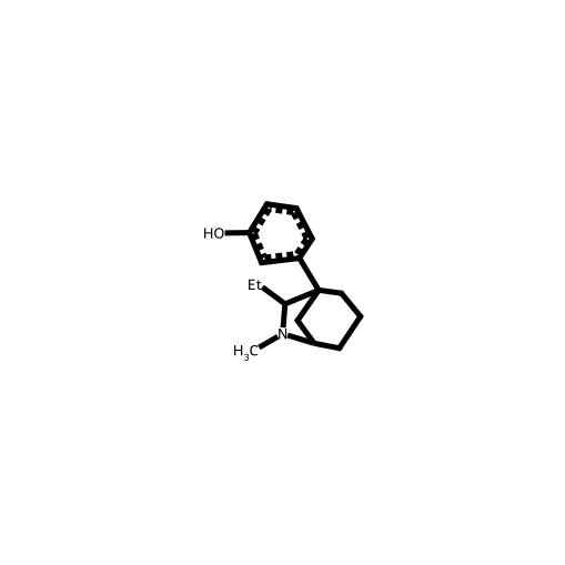 CCC1N(C)C2CCCC1(c1cccc(O)c1)C2